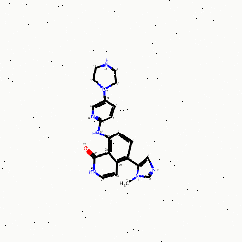 Cn1cncc1-c1ccc(Nc2ccc(N3CCNCC3)cn2)c2c(=O)[nH]ccc12